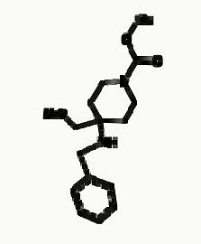 COCC1(NCc2ccccc2)CCN(C(=O)OC(C)(C)C)CC1